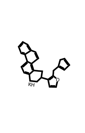 C1=CCC(Cc2occc2C2CCc3ccc4c(ccc5ccccc54)c3C2)=C1.[KH]